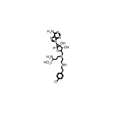 Nc1ncnc2c1ncn2C1[C@@H]2OC(CN(CCNCCc3ccc(Cl)cc3)CC[C@H](N)C(=O)O)[C@@H](O)[C@]12O